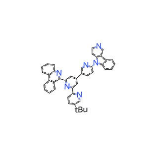 CC(C)(C)c1ccc(-c2cc(-c3ccc(-n4c5ccccc5c5cnccc54)nc3)cc(-c3nc4ccccc4c4ccccc34)n2)nc1